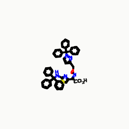 O=C(O)C(=NOCc1ccn(C(c2ccccc2)(c2ccccc2)c2ccccc2)n1)c1csc(NC(c2ccccc2)(c2ccccc2)c2ccccc2)n1